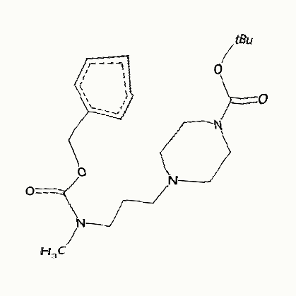 CN(CCCN1CCN(C(=O)OC(C)(C)C)CC1)C(=O)OCc1ccccc1